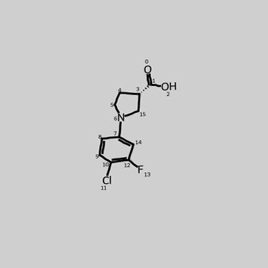 O=C(O)[C@H]1CCN(c2ccc(Cl)c(F)c2)C1